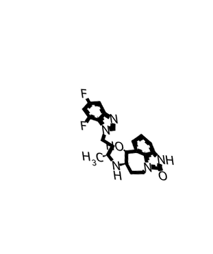 C[C@H](CCn1cnc2cc(F)cc(F)c21)N[C@@H]1CCn2c(=O)[nH]c3cccc(c32)[C@H]1O